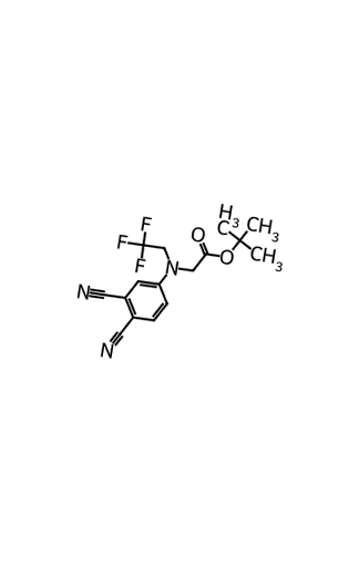 CC(C)(C)OC(=O)CN(CC(F)(F)F)c1ccc(C#N)c(C#N)c1